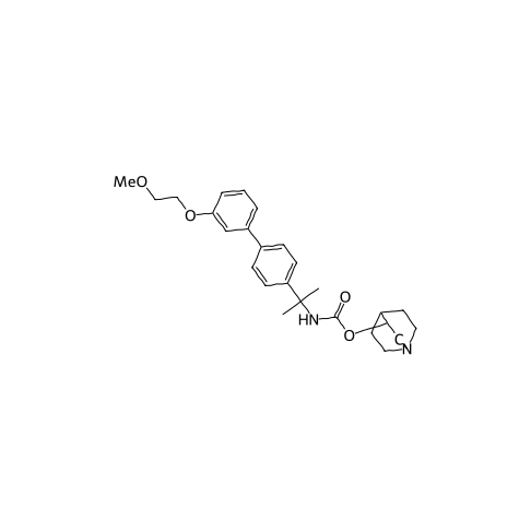 COCCOc1cccc(-c2ccc(C(C)(C)NC(=O)OC3CN4CCC3CC4)cc2)c1